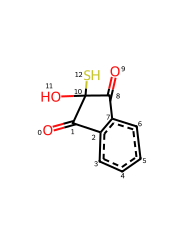 O=C1c2ccccc2C(=O)C1(O)S